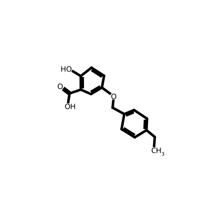 CCc1ccc(COc2ccc(O)c(C(=O)O)c2)cc1